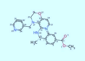 COC(=O)c1ccc([C@H](C)Nc2nccc3c2N(Cc2c#ccnc2)CCO3)cc1